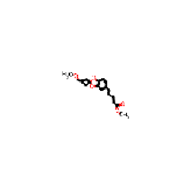 COCC1CC2(C1)Oc1ccc(CCCCC(=O)OC)cc1O2